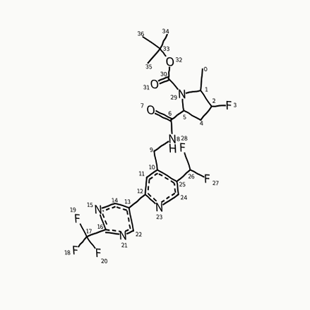 CC1C(F)CC(C(=O)NCc2cc(-c3cnc(C(F)(F)F)nc3)ncc2C(F)F)N1C(=O)OC(C)(C)C